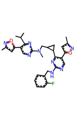 Cc1cc(-c2cnc(N(C)CC3CC3c3nc(NCc4ccccc4F)ncc3-c3cc(C)no3)nc2C(C)C)on1